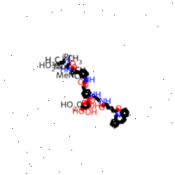 CNC(C(=O)N[C@H](C(=O)N(C)[C@H](/C=C(\C)C(=O)O)C(C)C)C(C)(C)C)C(C)(C)c1cccc(NC(=O)OCc2ccc(OC3OC(C(=O)O)C(O)C(O)C3O)c(NC(=O)CCNC(=O)CCCCC(=O)N3Cc4ccccc4C#Cc4ccccc43)c2)c1